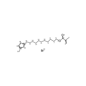 C=C(C)C(=O)OCCCCCCCCCCC[n+]1ccn(C)c1.[Br-]